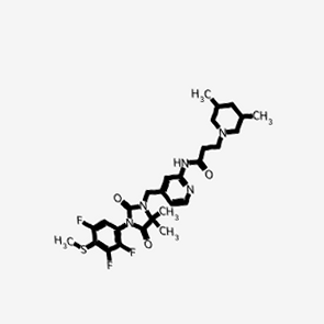 CSc1c(F)cc(N2C(=O)N(Cc3ccnc(NC(=O)CCN4CC(C)CC(C)C4)c3)C(C)(C)C2=O)c(F)c1F